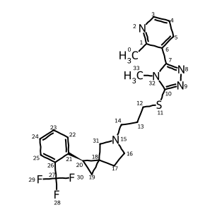 Cc1ncccc1-c1nnc(SCCCN2CCC3(C[C@H]3c3ccccc3C(F)(F)F)C2)n1C